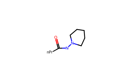 CCCC(=O)[N]N1CCCCC1